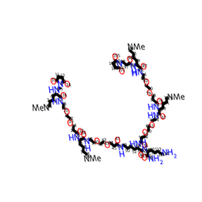 CNCCCCC(NCN1C(=O)C=CC1=O)C(=O)NCCOCCOCCC(=O)NC(CCCCNC)C(=O)NCCOCCOCCC(=O)NCCCCC(NC(=O)CCOCCOCCNC(=O)C(CCCCNC)NC(=O)CCOCCOCCNC(=O)C(CCCCNC)NC(=O)CCN1C(=O)C=CC1=O)C(=O)NC(CCCCN)C(N)=O